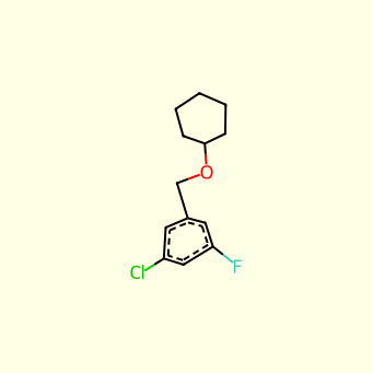 Fc1cc(Cl)cc(COC2CCCCC2)c1